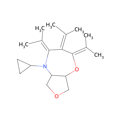 CC(C)=C1OC2COCC2N(C2CC2)C(=C(C)C)C1=C(C)C